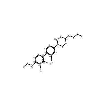 CCCOC1CCC(c2ccc(-c3ccc(OCC)c(F)c3F)c(F)c2)OC1